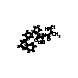 CCN[C@@H](C)C(=O)N[C@H](C(=O)N1CCC[C@H]1c1nc(-c2cccc3ccccc23)cs1)C(C)(C)C